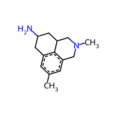 Cc1cc2c3c(c1)CN(C)CC3CC(N)C2